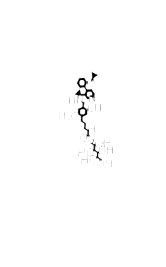 Cc1cc(CNC2(c3cnccc3-c3ccccc3OC3CC3)CC2)c(C)cc1CCCCC(=O)NC[C@H](O)[C@@H](O)[C@H](O)[C@H](O)CO